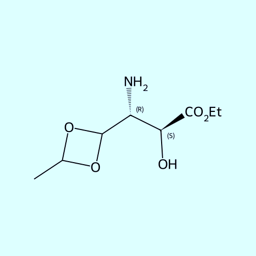 CCOC(=O)[C@@H](O)[C@@H](N)C1OC(C)O1